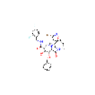 C[C@H]1C=C[C@]2(CC(Br)=NO2)[C@H]2CN1C(=O)c1c(OCc3ccccc3)c(=O)c(C(=O)NCc3ccc(F)cc3F)cn12